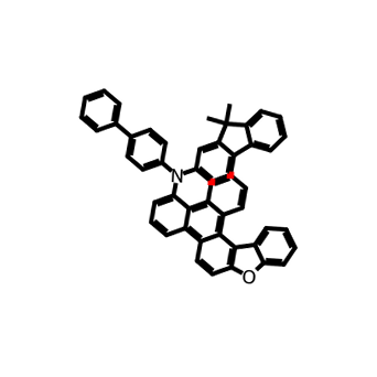 CC1(C)c2ccccc2-c2ccc(N(c3ccc(-c4ccccc4)cc3)c3cccc4c5ccc6oc7ccccc7c6c5c5ccccc5c34)cc21